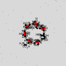 N[C@H](CSCC1C[C@@H]2O[C@@H]3C(CO)O[C@@H](O[C@@H]4C(CO)O[C@@H](O[C@@H]5C(CSC[C@@H](N)C(=O)O)O[C@@H](O[C@@H]6C(CO)C[C@H](O[C@@H]7C(CO)O[C@H](O[C@@H]8C(CO)O[C@H](O[C@H]1[C@H](O)C2O)C(O)[C@H]8O)C(O)[C@H]7O)C(O)[C@H]6O)C(O)[C@H]5O)C(O)[C@H]4O)C(O)[C@H]3O)C(=O)O